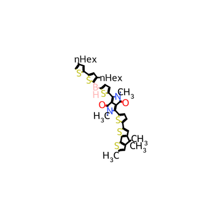 CCCCCCc1csc(-c2cc(CCCCCC)c(Bc3ccc(C4=C5C(=O)N(C)C(c6ccc(-c7cc8c(s7)-c7sc(C)cc7C8(C)C)s6)=C5C(=O)N4C)s3)s2)c1